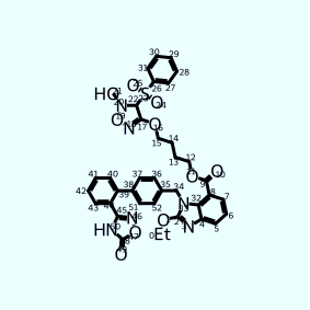 CCOc1nc2cccc(C(=O)OCCCCOC3=NON(O)C3S(=O)(=O)c3ccccc3)c2n1Cc1ccc(-c2ccccc2-c2noc(=O)[nH]2)cc1